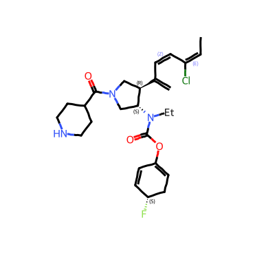 C=C(/C=C\C(Cl)=C/C)[C@@H]1CN(C(=O)C2CCNCC2)C[C@H]1N(CC)C(=O)OC1=CC[C@H](F)C=C1